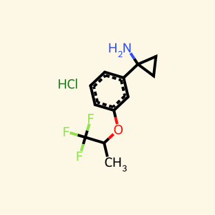 CC(Oc1cccc(C2(N)CC2)c1)C(F)(F)F.Cl